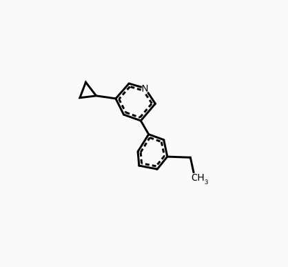 CCc1cccc(-c2cncc(C3CC3)c2)c1